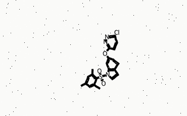 Cc1cc(C)c(S(=O)(=O)n2ccc3ccc(Oc4ccc(Cl)nn4)cc32)c(C)c1